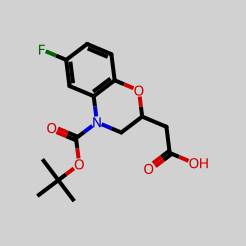 CC(C)(C)OC(=O)N1CC(CC(=O)O)Oc2ccc(F)cc21